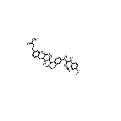 COc1ccc(NC(=NC#N)Nc2ccc3c(c2)CCN(C)C3C(=O)NC(Cc2ccc(CCC(=O)O)cc2)C(=O)O)cc1